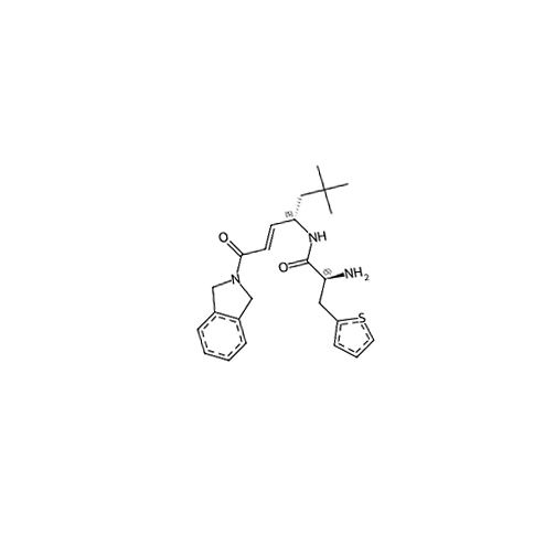 CC(C)(C)C[C@@H](C=CC(=O)N1Cc2ccccc2C1)NC(=O)[C@@H](N)Cc1cccs1